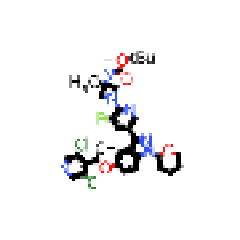 C[C@@H](Oc1ccc2c(c1)c(-c1cnc(N3CC(C)(NC(=O)OC(C)(C)C)C3)c(F)c1)nn2C1CCCCO1)c1c(Cl)cncc1Cl